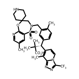 Cc1cnc2c(c1)S(=O)(=O)N(Cc1cc([C@H](c3ccn4c(C(F)(F)F)nnc4c3C)C(C)(C)C(=O)O)ccc1C)CC1(CCNCC1)O2